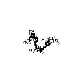 CCN1C(=O)C(CCCc2ccc(C(C)(C)C)cc2)N=C1CCCc1cccc(-c2ccc(OC)c(CC(=O)O)c2)n1